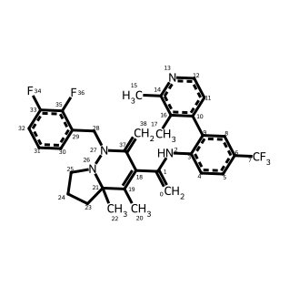 C=C(Nc1ccc(C(F)(F)F)cc1-c1ccnc(C)c1C)C1=C(C)C2(C)CCCN2N(Cc2cccc(F)c2F)C1=C